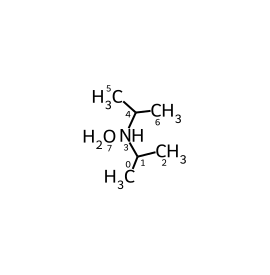 CC(C)NC(C)C.O